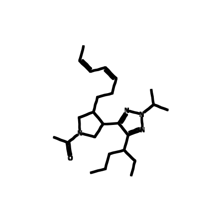 C/C=C\C=C/CCC1CN(C(C)=O)CC1c1nn(C(C)C)nc1C(CC)CCC